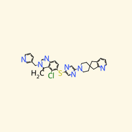 C=C1c2c(ccc(Sc3cnc(N4CCC5(CC4)Cc4cccnc4C5)cn3)c2Cl)N=CN1Cc1cccnc1